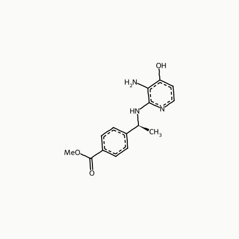 COC(=O)c1ccc([C@H](C)Nc2nccc(O)c2N)cc1